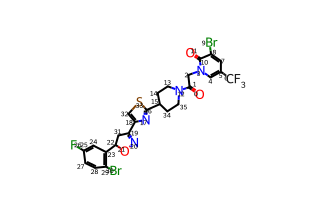 O=C(Cn1cc(C(F)(F)F)cc(Br)c1=O)N1CCC(c2nc(C3=NOC(c4cc(F)ccc4Br)C3)cs2)CC1